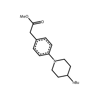 CCCCC1CCN(c2ccc(CC(=O)OC)cc2)CC1